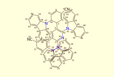 N#CC1=CC(c2cc(-c3cc(C#N)ccc3-n3c4ccccc4c4ccccc43)c(-n3c4ccccc4c4ccccc43)nc2-n2c3ccccc3c3ccccc32)C(n2c3ccccc3c3ccccc32)C=C1